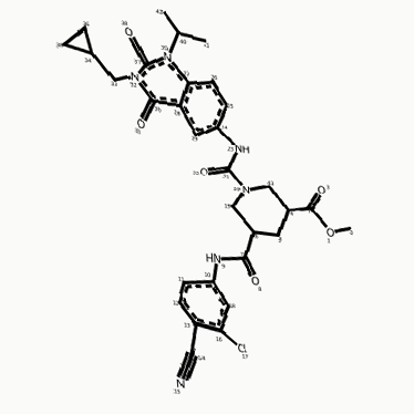 COC(=O)C1CC(C(=O)Nc2ccc(C#N)c(Cl)c2)CN(C(=O)Nc2ccc3c(c2)c(=O)n(CC2CC2)c(=O)n3C(C)C)C1